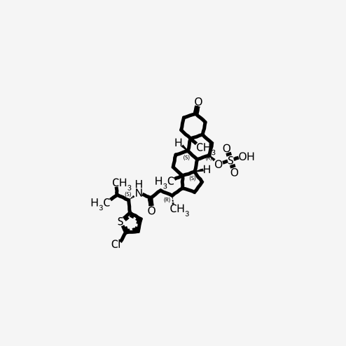 CC(C)[C@H](NC(=O)C[C@@H](C)C1CC[C@H]2C3[C@H](OS(=O)(=O)O)CC4CC(=O)CCC4(C)[C@H]3CCC12C)c1ccc(Cl)s1